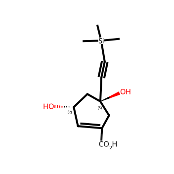 C[Si](C)(C)C#C[C@]1(O)CC(C(=O)O)=C[C@H](O)C1